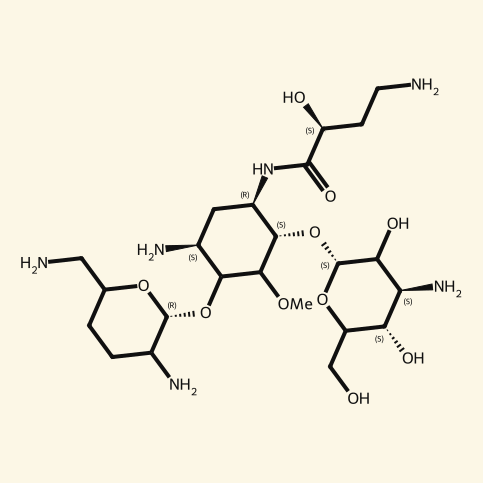 COC1C(O[C@H]2OC(CN)CCC2N)[C@@H](N)C[C@@H](NC(=O)[C@@H](O)CCN)[C@@H]1O[C@H]1OC(CO)[C@@H](O)[C@H](N)C1O